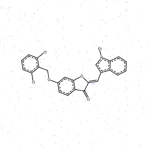 CCn1cc(/C=C2\Oc3cc(OCc4c(Cl)cccc4Cl)ccc3C2=O)c2ccccc21